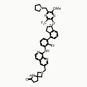 CCc1c(Nc2nccc3cc(CN4CC5(CCC(=O)N5)C4)cnc23)cccc1-c1cccc2c1CC[C@H]2Oc1nc(OC)c(CN2CCCC2)nc1C(F)(F)F